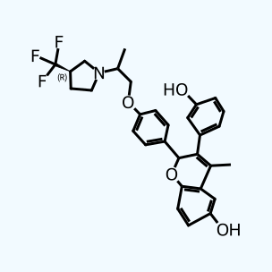 CC1=C(c2cccc(O)c2)C(c2ccc(OCC(C)N3CC[C@@H](C(F)(F)F)C3)cc2)Oc2ccc(O)cc21